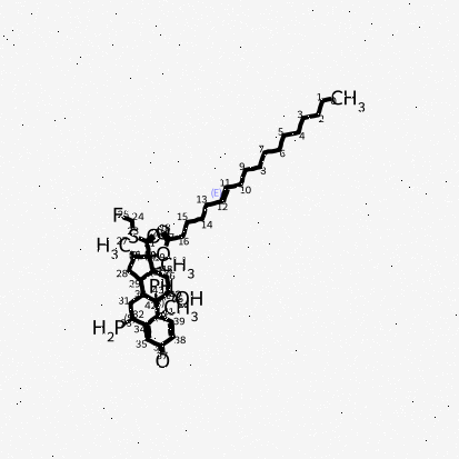 CCCCCCCCCCC/C=C/CCCCC(=O)O[C@]1(C(=O)SCF)[C@H](C)CC2C3C[C@H](P)C4=CC(=O)C=C[C@]4(C)[C@@]3(P)[C@@H](O)C[C@@]21C